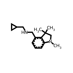 CN1CC(C)(C)c2c(CNCC3CC3)cccc21